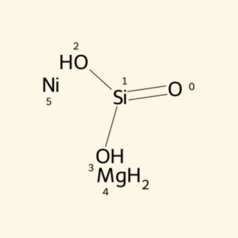 O=[Si](O)O.[MgH2].[Ni]